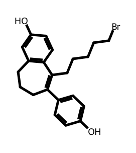 Oc1ccc(C2=C(CCCCCBr)c3ccc(O)cc3CCC2)cc1